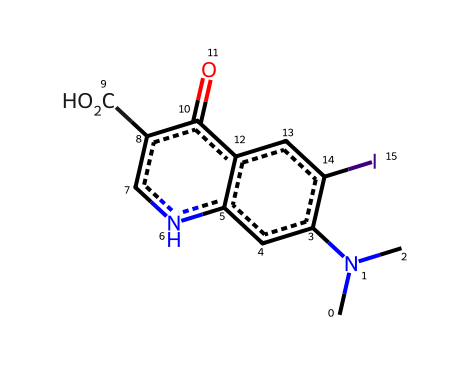 CN(C)c1cc2[nH]cc(C(=O)O)c(=O)c2cc1I